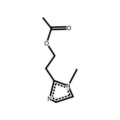 CC(=O)OCCc1nccn1C